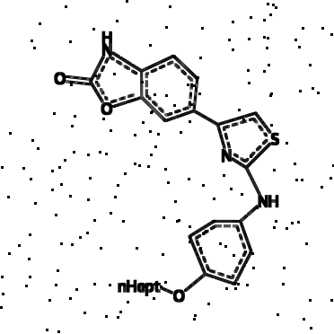 CCCCCCCOc1ccc(Nc2nc(-c3ccc4[nH]c(=O)oc4c3)cs2)cc1